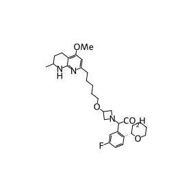 COc1cc(CCCCCOC2CN(C(C(=O)O)c3cc(F)ccc3[C@@H]3CCCCO3)C2)nc2c1CCC(C)N2